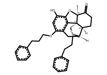 C[C@@]12Oc3c(O)cc(OCCCc4ccccc4)c4c3[C@@]13CCN(CCc1ccccc1)[C@H](C4)[C@@H]3CCC2=O